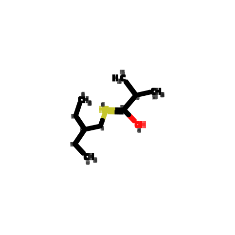 CCC(CC)C[SH]=C(O)C(C)C